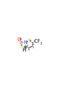 O=C1S[C@@H]2C=CC(C(F)(F)F)SN12